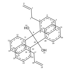 C=CCc1ccccc1C(O)(c1ccccc1CC=C)C(O)(c1ccccc1)c1ccccc1